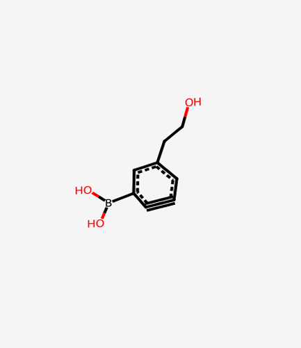 OCCc1cc#cc(B(O)O)c1